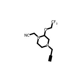 C#CCN1CCN(CC#N)C(OCC(F)(F)F)C1